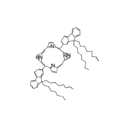 CCCCCCCCC1(CCCCCCCC)c2ccccc2-c2ccc(-c3c4nc(cc5ccc([nH]5)c(-c5ccc6c(c5)C(CCCCCCCC)(CCCCCCCC)c5ccccc5-6)c5nc(cc6ccc3[nH]6)C=C5)C=C4)cc21